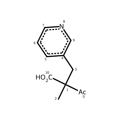 CC(=O)C(C)(Cc1cccnc1)C(=O)O